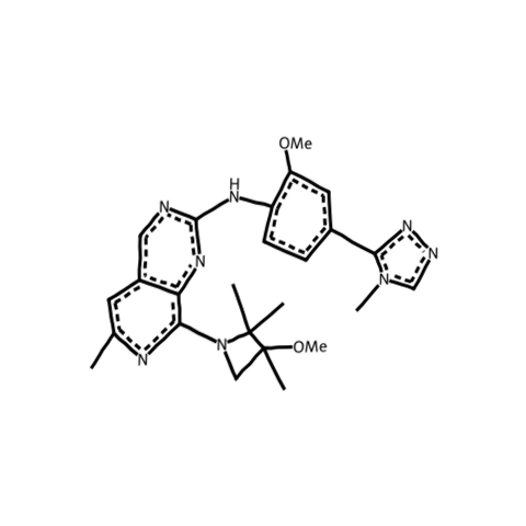 COc1cc(-c2nncn2C)ccc1Nc1ncc2cc(C)nc(N3CC(C)(OC)C3(C)C)c2n1